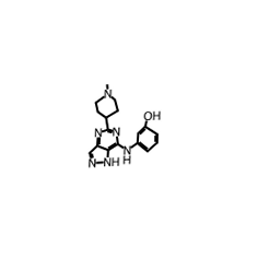 CN1CCC(c2nc(Nc3cccc(O)c3)c3[nH]ncc3n2)CC1